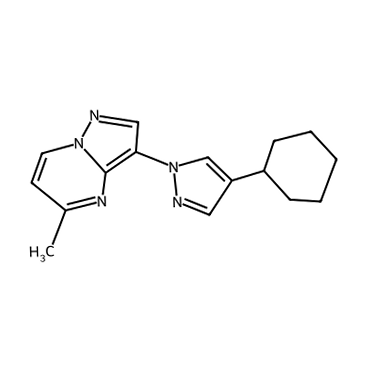 Cc1ccn2ncc(-n3cc(C4CCCCC4)cn3)c2n1